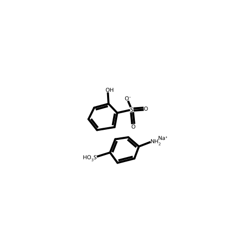 Nc1ccc(S(=O)(=O)O)cc1.O=S(=O)([O-])c1ccccc1O.[Na+]